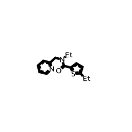 CCc1ccc(C(=O)N(CC)Cc2ccccn2)s1